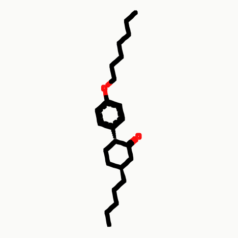 CCCCCCCOc1ccc([C@H]2CC[C@H](CCCCC)CC2=O)cc1